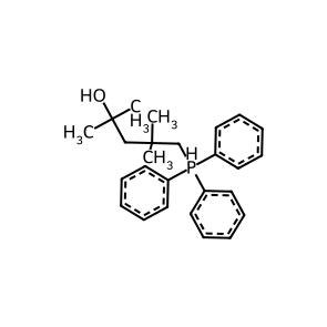 CC(C)(O)CC(C)(C)C[PH](c1ccccc1)(c1ccccc1)c1ccccc1